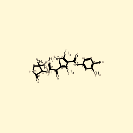 Cc1cc(NC(=O)c2c(C)c(C(=O)C(=O)NC3C(=O)NCC3(C)C)n(C)c2C)ccc1F